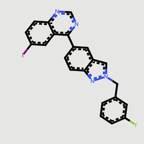 Fc1cccc(Cn2cc3cc(-c4ncnc5ccc(I)cc45)ccc3n2)c1